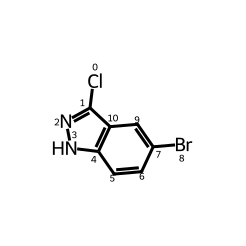 Clc1n[nH]c2ccc(Br)cc12